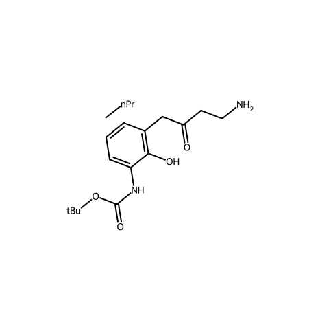 CC(C)(C)OC(=O)Nc1cccc(CC(=O)CCN)c1O.CCCC